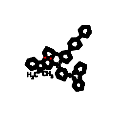 CC1(C)c2ccccc2-c2ccc(N(c3cccc(-n4c5ccccc5c5ccccc54)c3)c3ccc(-c4ccc(-c5ccccc5)cc4)cc3-c3ccccc3)cc21